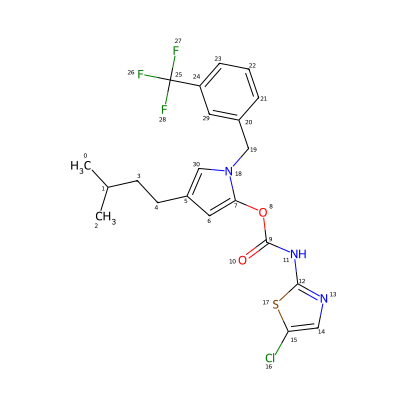 CC(C)CCc1cc(OC(=O)Nc2ncc(Cl)s2)n(Cc2cccc(C(F)(F)F)c2)c1